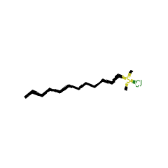 CCCCCCCCCCCCS(C)(C)Cl